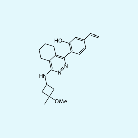 C=Cc1ccc(-c2nnc(NC3CC(C)(OC)C3)c3c2CCCC3)c(O)c1